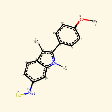 CCOc1ccc(-c2c(C#N)c3ccc(NS)cc3n2CC)cc1